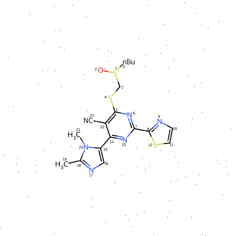 CCCC[S+]([O-])CSc1nc(-c2nccs2)nc(-c2cnc(C)n2C)c1C#N